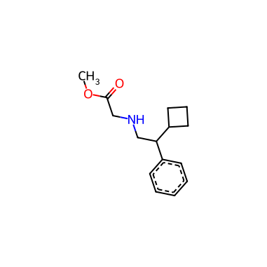 COC(=O)CNCC(c1ccccc1)C1CCC1